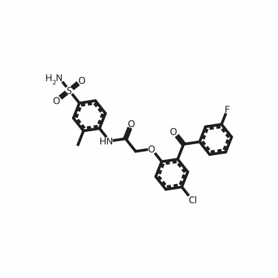 Cc1cc(S(N)(=O)=O)ccc1NC(=O)COc1ccc(Cl)cc1C(=O)c1cccc(F)c1